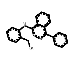 CCc1ccccc1Nc1nnc(-c2ccccc2)c2ccccc12